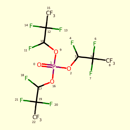 O=P(OC(F)C(F)(F)C(F)(F)F)(OC(F)C(F)(F)C(F)(F)F)OC(F)C(F)(F)C(F)(F)F